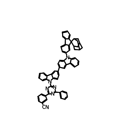 N#Cc1cccc(-c2nc(-c3ccccc3)nc(-n3c4ccccc4c4cc(-c5ccc6c(c5)c5ccccc5n6-c5ccc6c(c5)C5(c7ccccc7-6)C6CC7CC(C6)CC5C7)ccc43)n2)c1